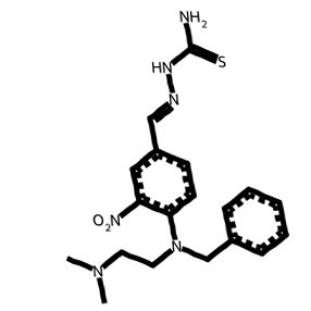 CN(C)CCN(Cc1ccccc1)c1ccc(C=NNC(N)=S)cc1[N+](=O)[O-]